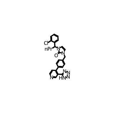 CCCC(c1ccccc1Cl)n1ccn(Cc2ccc(-c3ccncc3-c3nnn[nH]3)cc2)c1=O